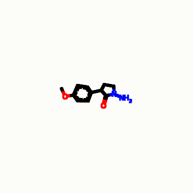 COc1ccc(C2CCN(N)C2=O)cc1